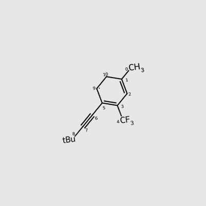 CC1=CC(C(F)(F)F)=C(C#CC(C)(C)C)[CH]C1